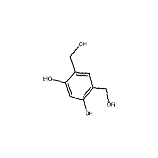 OCc1cc(CO)c(O)cc1O